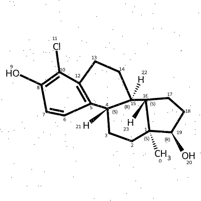 C[C@]12CC[C@@H]3c4ccc(O)c(Cl)c4CC[C@H]3[C@@H]1CC[C@H]2O